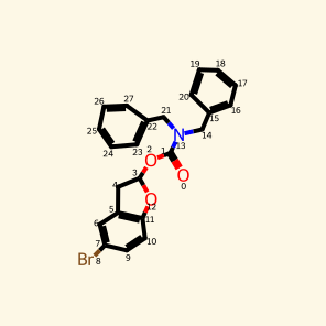 O=C(OC1Cc2cc(Br)ccc2O1)N(Cc1ccccc1)Cc1ccccc1